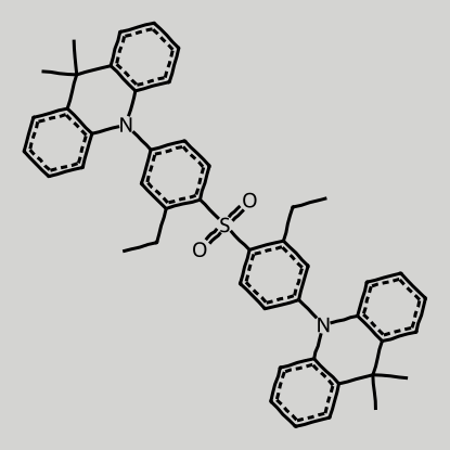 CCc1cc(N2c3ccccc3C(C)(C)c3ccccc32)ccc1S(=O)(=O)c1ccc(N2c3ccccc3C(C)(C)c3ccccc32)cc1CC